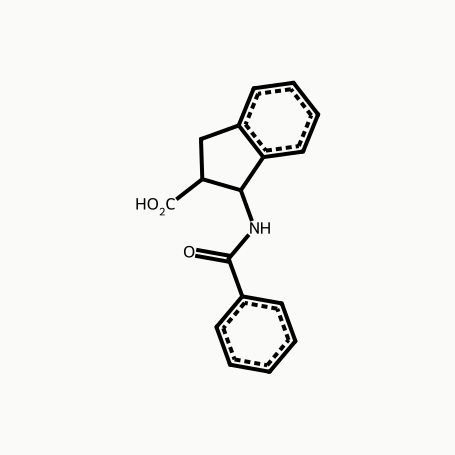 O=C(NC1c2ccccc2CC1C(=O)O)c1ccccc1